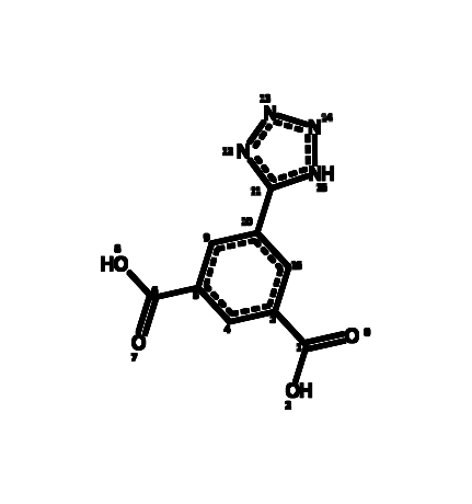 O=C(O)c1cc(C(=O)O)cc(-c2nnn[nH]2)c1